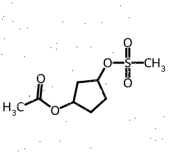 CC(=O)OC1CCC(OS(C)(=O)=O)C1